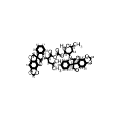 CC(C)CC(C(=O)OC(=O)OC(=O)C(CC(C)C)N1C(=O)C2(COc3cc4c(cc32)OCO4)c2ccccc21)N1C(=O)C2(COc3cc4c(cc32)OCO4)c2ccccc21